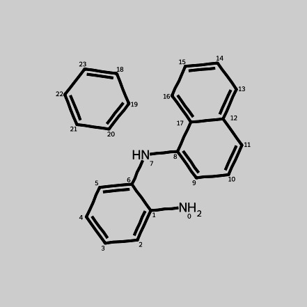 Nc1ccccc1Nc1cccc2ccccc12.c1ccccc1